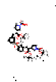 CC(C)(C)OC(=O)C(Cc1cccc(S(=O)(=O)c2cccc(CC(C(=O)OC(C)(C)C)[C@H]3CCN(C(=O)OC(C)(C)C)C3)c2)c1)[C@H]1CCN(C(=O)O)C1